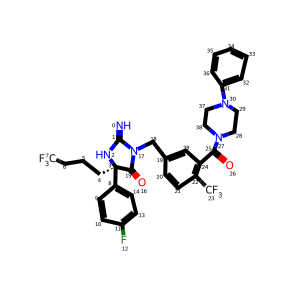 N=C1N[C@](CCCC(F)(F)F)(c2ccc(F)cc2)C(=O)N1Cc1ccc(C(F)(F)F)c(C(=O)N2CCN(c3ccccc3)CC2)c1